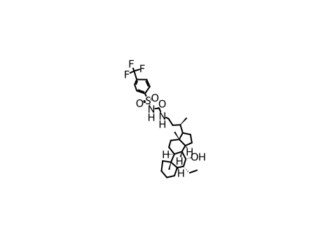 CC[C@H]1[C@@H](O)[C@@H]2[C@H](CC[C@]3(C)C([C@H](C)CCNC(=O)NS(=O)(=O)c4ccc(C(F)(F)F)cc4)CC[C@@H]23)[C@@]2(C)CCCC[C@@H]12